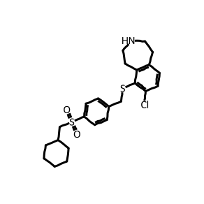 O=S(=O)(CC1CCCCC1)c1ccc(CSc2c(Cl)ccc3c2CCNCC3)cc1